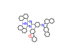 c1ccc2cc3c(cc2c1)c1c2ccccc2ccc1n3-c1ccc(C2=NC(c3cccc4ccccc34)NC(c3cccc4ccccc34)=N2)c(-c2ccc3oc4ccccc4c3c2)c1